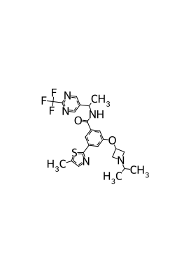 Cc1cnc(-c2cc(OC3CN(C(C)C)C3)cc(C(=O)NC(C)c3cnc(C(F)(F)F)nc3)c2)s1